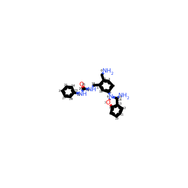 NCc1ccc(N2Oc3ccccc3C2N)cc1CNC(=O)Nc1ccccc1